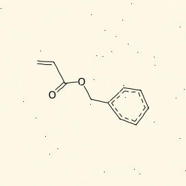 C=CC(=O)OCc1[c]cccc1